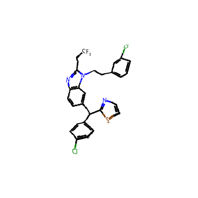 FC(F)(F)Cc1nc2ccc(C(c3ccc(Cl)cc3)c3nccs3)cc2n1CCc1cccc(Cl)c1